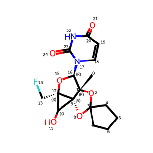 C[C@@]12OC3(CCCC3)O[C@@]13C(O)[C@@]3(CF)O[C@H]2n1ccc(=O)[nH]c1=O